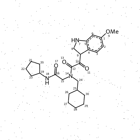 COc1ccc2c(c1)NCC2C(=O)C(=O)N(CC(=O)NC1CCCC1)CC1CCCCC1